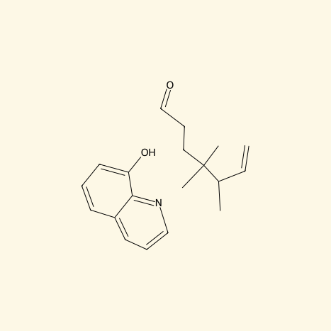 C=CC(C)C(C)(C)CCC=O.Oc1cccc2cccnc12